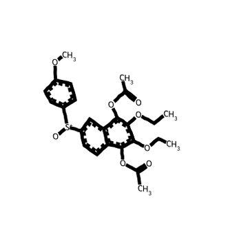 CCOc1c(OCC)c(OC(C)=O)c2cc([S+]([O-])c3ccc(OC)cc3)ccc2c1OC(C)=O